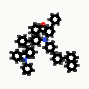 c1ccc(-c2ccc(N(c3ccc(-c4cccc(-c5cccc6ccccc56)c4)cc3)c3ccc(-c4ccccc4-c4cccc5c4c4ccccc4n5-c4ccccc4)cc3)c3c2oc2ccccc23)cc1